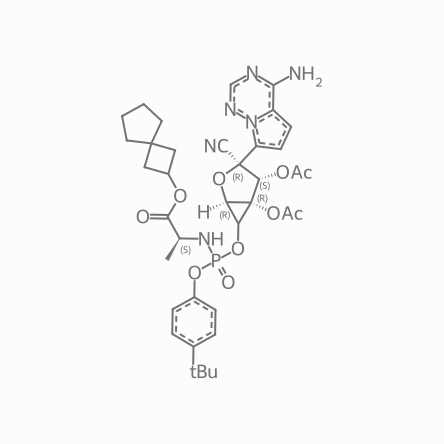 CC(=O)O[C@@H]1[C@@]2(OC(C)=O)C(OP(=O)(N[C@@H](C)C(=O)OC3CC4(CCCC4)C3)Oc3ccc(C(C)(C)C)cc3)[C@H]2O[C@@]1(C#N)c1ccc2c(N)ncnn12